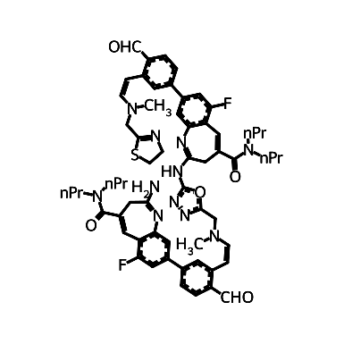 CCCN(CCC)C(=O)C1=Cc2c(F)cc(-c3ccc(C=O)c(/C=C\N(C)Cc4nnc(NC5=Nc6cc(-c7ccc(C=O)c(/C=C\N(C)CC8=NCCS8)c7)cc(F)c6C=C(C(=O)N(CCC)CCC)C5)o4)c3)cc2N=C(N)C1